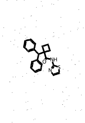 O=C(Nc1nccs1)C1(C(c2ccccc2)c2ccccc2)CCC1